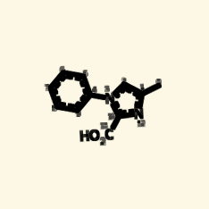 Cc1cn(-c2ccccc2)c(C(=O)O)n1